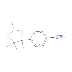 CB1OC(C)(C)C(C)(c2ccc(C#N)cc2)O1